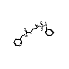 O=S(=O)(NCCSC(=S)NCc1cccnc1)Nc1ccccc1